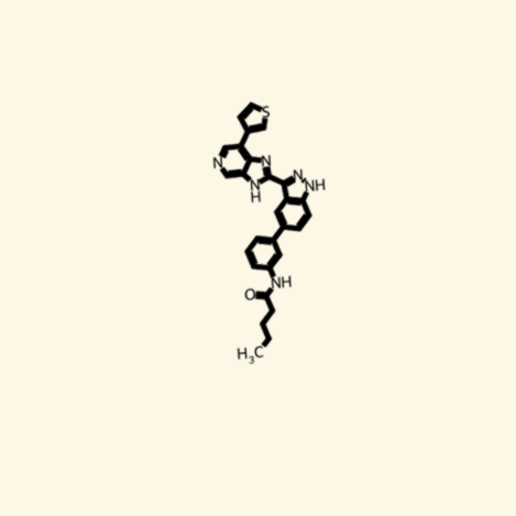 CCCCC(=O)Nc1cccc(-c2ccc3[nH]nc(-c4nc5c(-c6ccsc6)cncc5[nH]4)c3c2)c1